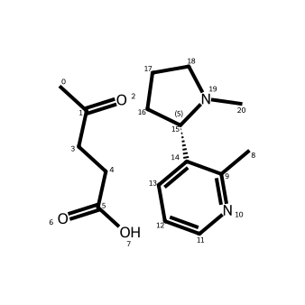 CC(=O)CCC(=O)O.Cc1ncccc1[C@@H]1CCCN1C